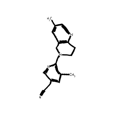 Cc1cnc2c(c1)CN(c1ncc(C#N)cc1C)CC2